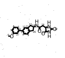 COc1cccc(-c2ccc3c(c2)CC(NC(=O)CC2NC(=O)NC2=O)C3)c1